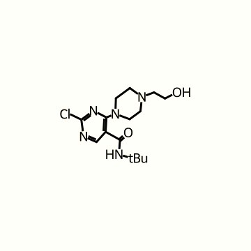 CC(C)(C)NC(=O)c1cnc(Cl)nc1N1CCN(CCO)CC1